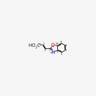 O=C(O)C=Cc1nc2ccccc2o1